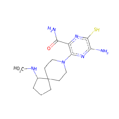 NC(=O)c1nc(S)c(N)nc1N1CCC2(CCCC2NC(=O)O)CC1